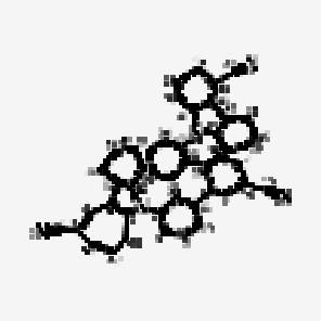 N#CC1=Cc2c(n(-c3cccc(-c4cc(C#N)ccc4-c4ccccc4-n4c5ccccc5c5c(C#N)cccc54)c3)c3ccccc23)CC=C1